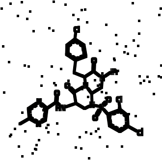 Cc1cnc(C(=O)NC2CN(S(=O)(=O)c3ccc(Cl)cc3Cl)C3CN(C(C)C)C(=O)C(Cc4ccc(Cl)cc4)N3C2=O)cn1